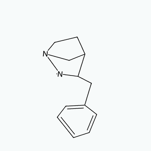 c1ccc(CC2[N]N3CCC2C3)cc1